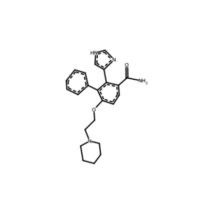 NC(=O)c1ccc(OCCN2CCCCC2)c(-c2ccccc2)c1-c1c[nH]cn1